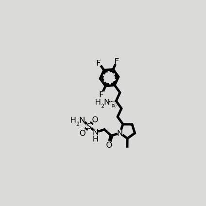 CC1CCC(CC[C@H](N)Cc2cc(F)c(F)cc2F)N1C(=O)CNS(N)(=O)=O